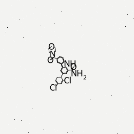 NC(=O)c1cc(C2CC=C(Cl)C=C2Cl)cc2c1[nH]c1ccc(C(=O)N3CCOCC3)cc12